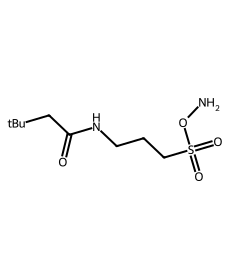 CC(C)(C)CC(=O)NCCCS(=O)(=O)ON